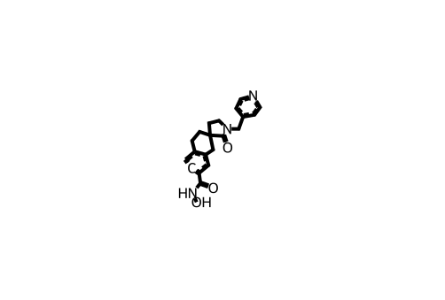 O=C(NO)c1ccc2c(c1)CC1(CC2)CCN(Cc2ccncc2)C1=O